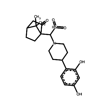 CC1(C)C2CCC1(C(N1CCC(c3ccc(O)cc3O)CC1)[SH](=O)=O)C(=O)C2